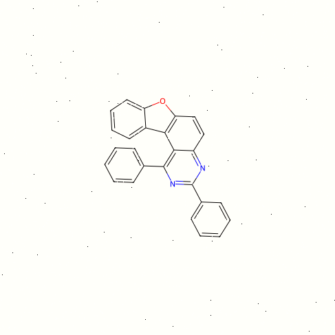 c1ccc(-c2nc(-c3ccccc3)c3c(ccc4oc5ccccc5c43)n2)cc1